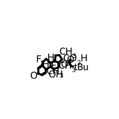 C[C@@H]1C[C@H]2[C@@H]3C[C@H](F)C4=CC(=O)C=C[C@]4(C)[C@@]3(F)[C@@H](O)C[C@]2(C)[C@@]1(OC(=O)CC(C)(C)C)C(=O)O